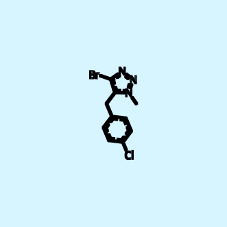 Cn1nnc(Br)c1Cc1ccc(Cl)cc1